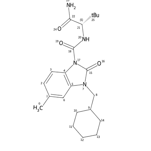 Cc1ccc2c(c1)n(CC1CCCCC1)c(=O)n2C(=O)N[C@H](C(N)=O)C(C)(C)C